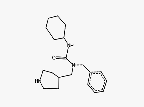 O=C(NC1CCCCC1)N(Cc1ccccc1)CC1CCNCC1